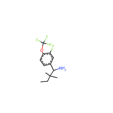 CCC(C)(C)C(N)c1ccc(OC(F)(F)F)c(F)c1